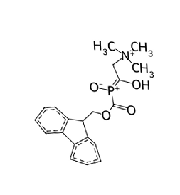 C[N+](C)(C)CC(O)=[P+]([O-])C(=O)OCC1c2ccccc2-c2ccccc21